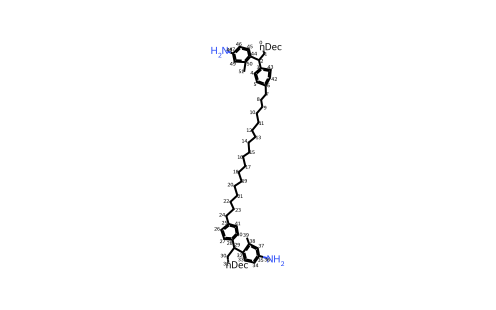 CCCCCCCCCCCC(c1ccc(CCCCCCCCCCCCCCCCCCc2ccc(C(CCCCCCCCCCC)c3ccc(N)cc3C)cc2)cc1)c1ccc(N)cc1C